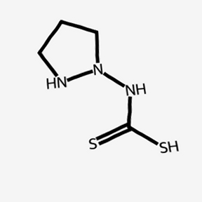 S=C(S)NN1CCCN1